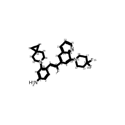 Nc1ccc(C=C(F)c2cc(N3CCC(F)(F)CC3)c3ncccc3c2)c(N2CCC3(CC2)CC3)c1